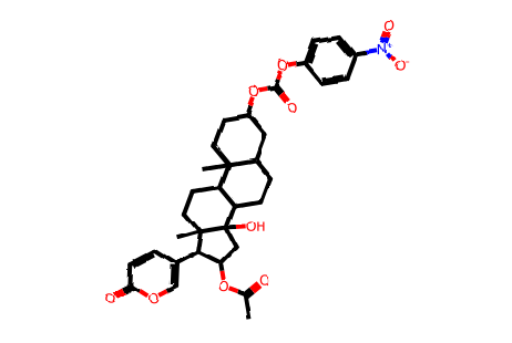 CC(=O)OC1CC2(O)C3CCC4CC(OC(=O)Oc5ccc([N+](=O)[O-])cc5)CCC4(C)C3CCC2(C)C1c1ccc(=O)oc1